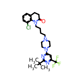 CC(C)(C)c1nc(N2CCN(CCCCN3C(=O)CCc4cccc(Cl)c43)CC2)cc(C(F)(F)F)n1